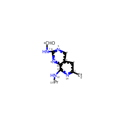 CCc1cc2cnc(NC=O)nc2c(NC(C)C)n1